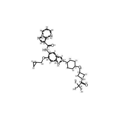 O=C(Nc1cc2cn(C3CCC(OC4CN(C(=O)C(F)(F)F)C4)CC3)nc2cc1OCC1CC1)c1cnn2cccnc12